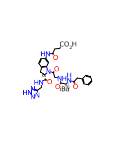 CC[C@H](C)[C@H](NC(=O)Cc1ccccc1)C(=O)NCC(=O)N1c2cc(NC(=O)CCC(=O)O)ccc2C[C@H]1C(=O)NCc1nn[nH]n1